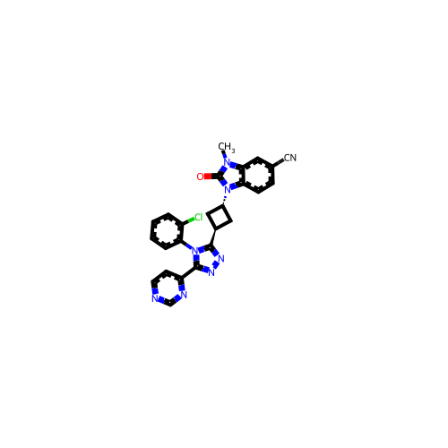 Cn1c(=O)n([C@H]2C[C@H](c3nnc(-c4ccncn4)n3-c3ccccc3Cl)C2)c2ccc(C#N)cc21